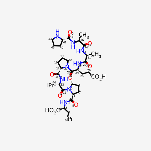 CC(C)C[C@H](NC(=O)[C@@H]1CCCN1C(=O)[C@@H](NC(=O)[C@@H]1CCCN1C(=O)[C@H](CCC(=O)O)NC(=O)[C@H](C)NC(=O)[C@H](C)NC(=O)[C@@H]1CCCN1)C(C)C)C(=O)O